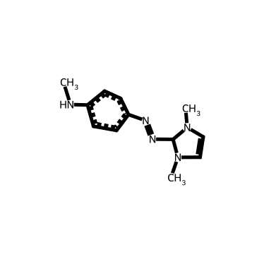 CNc1ccc(N=NC2N(C)C=CN2C)cc1